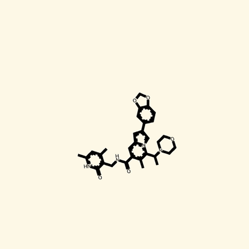 Cc1cc(C)c(CNC(=O)c2cc3cc(-c4ccc5c(c4)OCO5)cn3c(C(C)N3CCOCC3)c2C)c(=O)[nH]1